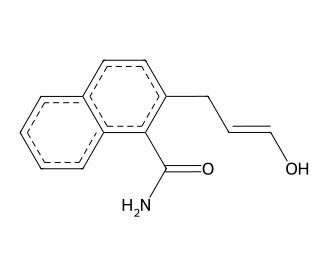 NC(=O)c1c(CC=CO)ccc2ccccc12